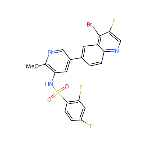 COc1ncc(-c2ccc3ncc(F)c(Br)c3c2)cc1NS(=O)(=O)c1ccc(F)cc1F